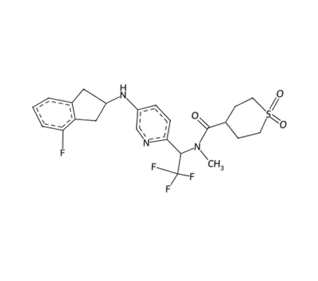 CN(C(=O)C1CCS(=O)(=O)CC1)C(c1ccc(NC2Cc3cccc(F)c3C2)cn1)C(F)(F)F